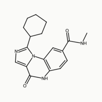 CNC(=O)c1ccc2[nH]c(=O)c3cnc(C4CCCCC4)n3c2c1